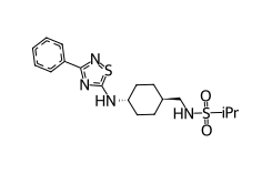 CC(C)S(=O)(=O)NC[C@H]1CC[C@H](Nc2nc(-c3ccccc3)ns2)CC1